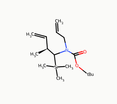 C=CCN(C(=O)OC(C)(C)C)C([C@@H](C)C=C)[Si](C)(C)C